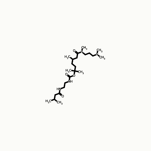 CC(C)CC(=O)NCCNC(=O)OC(C)(C)CCC(C)CC(=O)N(C)CCCN(C)C